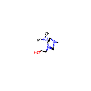 Cn1cc[n+](CCO)c1.N#CNC#N